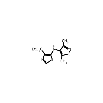 CCOC(=O)c1ncsc1Nc1c(C)noc1C